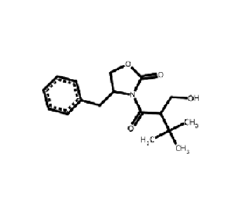 CC(C)(C)C(CO)C(=O)N1C(=O)OCC1Cc1ccccc1